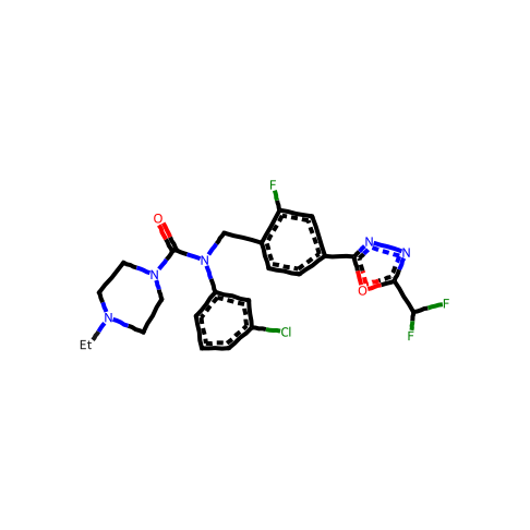 CCN1CCN(C(=O)N(Cc2ccc(-c3nnc(C(F)F)o3)cc2F)c2cccc(Cl)c2)CC1